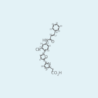 O=C(O)Cc1nc(-c2ccc(-c3ccc(NC(=O)/C=C/c4ccccc4)cc3Cl)o2)cs1